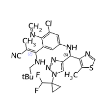 C=Nc1c(Cl)cc(N[C@H](c2cn(C3(C(F)F)CC3)nn2)c2ncsc2C)cc1/C(NCC(C)(C)C)=C(\C)C#N